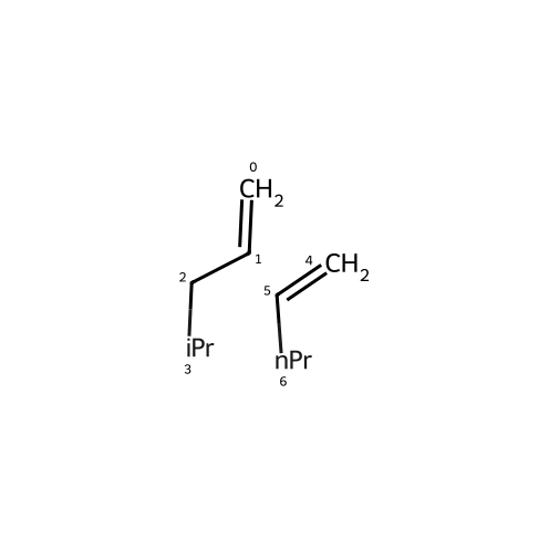 C=CCC(C)C.C=CCCC